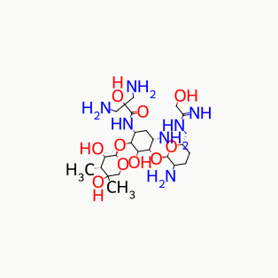 C[C@@H]1C(O)[C@@H](OC2C(O)C(O[C@H]3O[C@H](CNC(=N)CO)CCC3N)[C@@H](N)C[C@H]2NC(=O)C(O)(CN)CN)OCC1(C)O